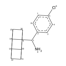 NC(c1ccc(Cl)cc1)C12C3C4C5C3C1C5C42